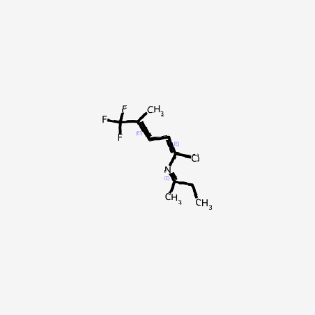 CC\C(C)=N/C(Cl)=C\C=C(/C)C(F)(F)F